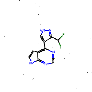 FC(F)c1n[nH]cc1-c1ncnc2[nH]ccc12